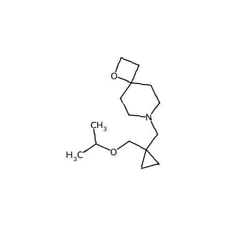 CC(C)OCC1(CN2CCC3(CCO3)CC2)CC1